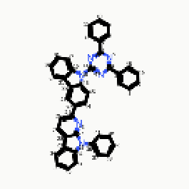 c1ccc(-c2nc(-c3ccccc3)nc(-n3c4ccccc4c4cc(-c5ccc6c7ccccc7n(-c7ccccc7)c6n5)ccc43)n2)cc1